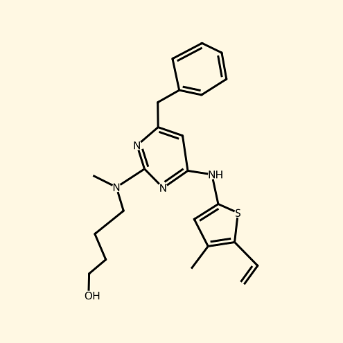 C=Cc1sc(Nc2cc(Cc3ccccc3)nc(N(C)CCCCO)n2)cc1C